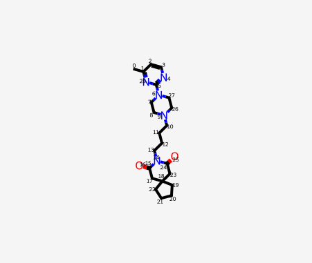 Cc1ccnc(N2CCN(CCCCN3C(=O)CC4(CCCC4)CC3=O)CC2)n1